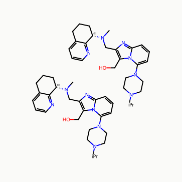 CC(C)N1CCN(c2cccc3nc(CN(C)[C@H]4CCCc5cccnc54)c(CO)n23)CC1.CC(C)N1CCN(c2cccc3nc(CN(C)[C@H]4CCCc5cccnc54)c(CO)n23)CC1